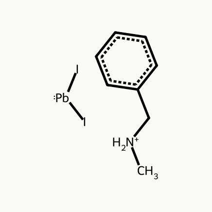 C[NH2+]Cc1ccccc1.[I][Pb][I]